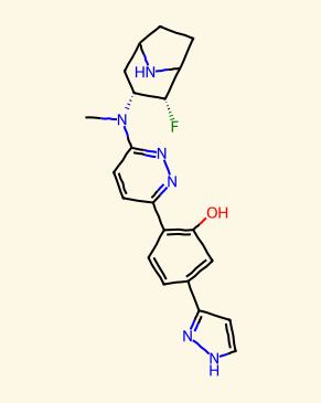 CN(c1ccc(-c2ccc(-c3cc[nH]n3)cc2O)nn1)[C@@H]1CC2CCC(N2)[C@@H]1F